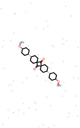 CCCO[C@H]1CC[C@H](C2CCC3(CC2)C(=O)C2(CCC([C@H]4CC[C@H](OCCC)CC4)CC2)C3=O)CC1